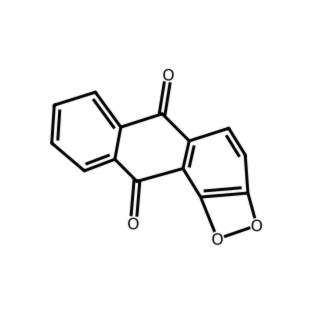 O=C1c2ccccc2C(=O)c2c1ccc1ooc21